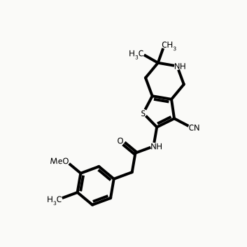 COc1cc(CC(=O)Nc2sc3c(c2C#N)CNC(C)(C)C3)ccc1C